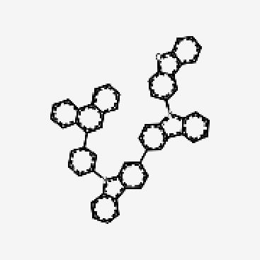 c1cc(-c2cc3ccccc3c3ccccc23)cc(-n2c3ccccc3c3ccc(-c4ccc5c(c4)c4ccccc4n5-c4ccc5oc6ccccc6c5c4)cc32)c1